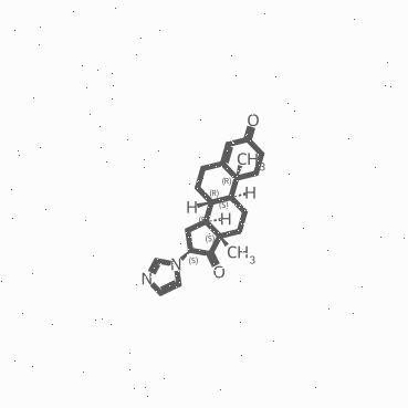 C[C@]12CCC(=O)C=C1CC[C@@H]1[C@@H]2CC[C@]2(C)C(=O)[C@@H](n3ccnc3)C[C@@H]12